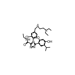 CCNC(=O)c1nnc(-c2cc(C(C)C)c(O)cc2O)n1-c1ccc(CN(C)CCN(CC)CC)cc1Cl